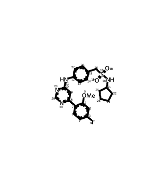 COc1cc(F)ccc1-c1cc(Nc2ccc(CS(=O)(=O)NC3CCCC3)cc2)ncn1